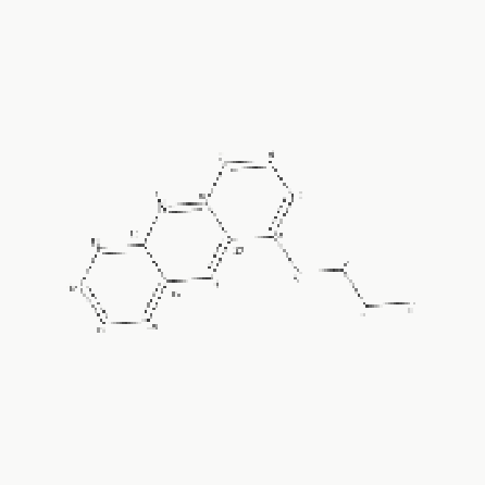 [CH2]CCCc1cccc2nc3ccccc3cc12